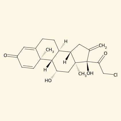 C=C1C[C@H]2[C@@H]3CCC4=CC(=O)C=C[C@]4(C)[C@H]3[C@@H](O)C[C@]2(C)[C@@]1(O)C(=O)CCl